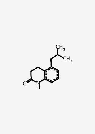 CC(C)Cc1cccc2c1CCC(=O)N2